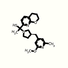 COc1cc(C[C@H]2CCN(C(C)(S)c3ccc4c(n3)OCCC4)C2)cc(C)n1